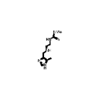 CNC(=S)NCCNCc1nc[nH]c1C